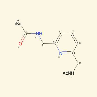 CCC(C)C(=O)NCc1cccc(CNC(C)=O)n1